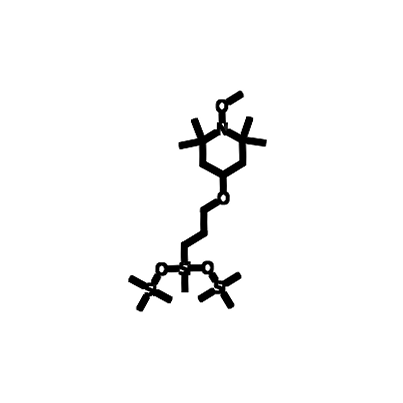 CON1C(C)(C)CC(OCCC[Si](C)(O[Si](C)(C)C)O[Si](C)(C)C)CC1(C)C